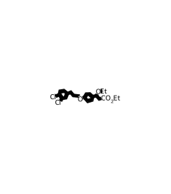 CCOC(=O)CC(OCC)c1ccc(OCCCc2ccc(Cl)c(Cl)c2)cc1